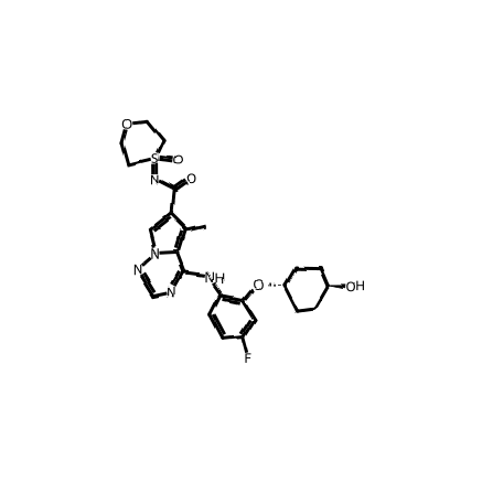 Cc1c(C(=O)N=S2(=O)CCOCC2)cn2ncnc(Nc3ccc(F)cc3O[C@H]3CC[C@H](O)CC3)c12